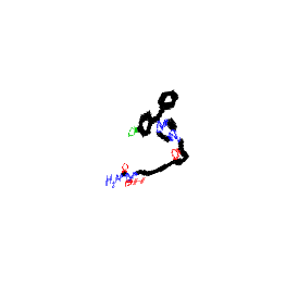 NC(=O)N(O)CCC#Cc1ccc(CN2CCN([C@H](c3ccccc3)c3ccc(Cl)cc3)CC2)o1